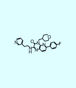 O=c1c(NCCc2cccnc2)nc2ccc(-c3ccc(F)cc3)nc2n1CC1CCOCC1